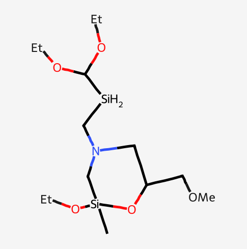 CCOC(OCC)[SiH2]CN1CC(COC)O[Si](C)(OCC)C1